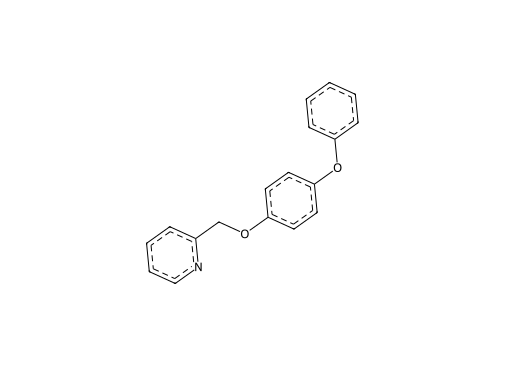 c1ccc(Oc2ccc(OCc3ccccn3)cc2)cc1